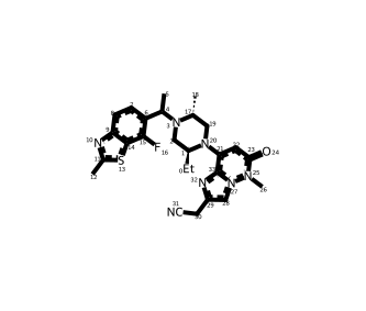 CC[C@H]1CN(C(C)c2ccc3nc(C)sc3c2F)[C@H](C)CN1c1cc(=O)n(C)n2cc(CC#N)nc12